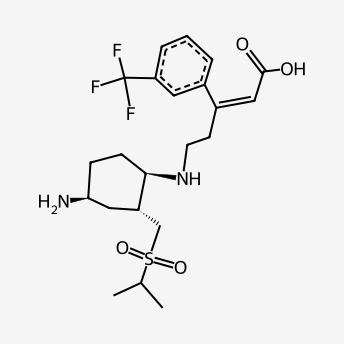 CC(C)S(=O)(=O)C[C@@H]1C[C@@H](N)CC[C@H]1NCCC(=CC(=O)O)c1cccc(C(F)(F)F)c1